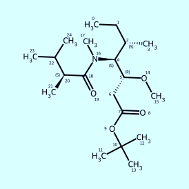 CC[C@H](C)[C@@H]([C@@H](CC(=O)OC(C)(C)C)OC)N(C)C(=O)[C@@H](C)C(C)C